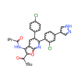 CC(C)C(=O)Nc1c(C(=O)C(C)(C)C)oc2nc(-c3ccc(-c4cn[nH]c4)cc3Cl)c(-c3ccc(Cl)cc3)cc12